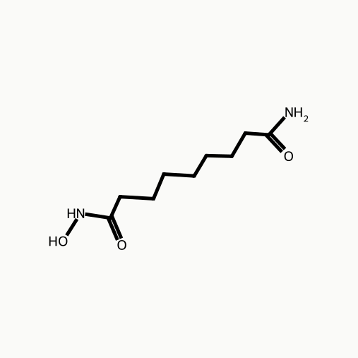 NC(=O)CCCCCCCC(=O)NO